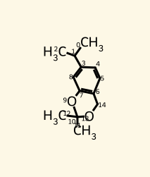 CC(C)c1ccc2c(c1)OC(C)(C)OC2